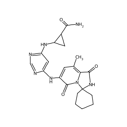 Cc1cc(Nc2cc(NC3CC3C(N)=O)ncn2)c(=O)n2c1C(=O)NC21CCCCC1